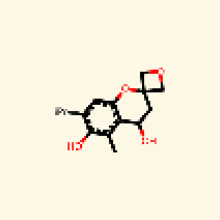 Cc1c(O)c(C(C)C)cc2c1C(O)CC1(COC1)O2